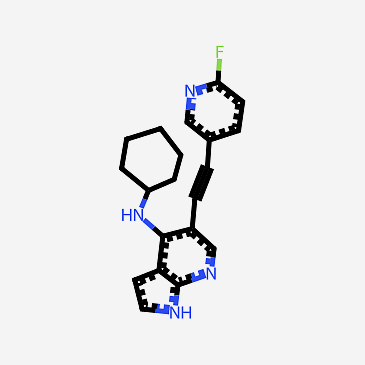 Fc1ccc(C#Cc2cnc3[nH]ccc3c2NC2CCCCC2)cn1